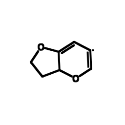 [C]1=COC2CCOC2=C1